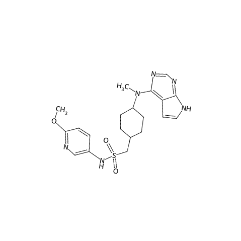 COc1ccc(NS(=O)(=O)CC2CCC(N(C)c3ncnc4[nH]ccc34)CC2)cn1